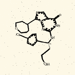 O=c1[nH]c(N[C@H](CCO)c2ccc(Cl)cc2)nn2c(C3CCOCC3)ncc12